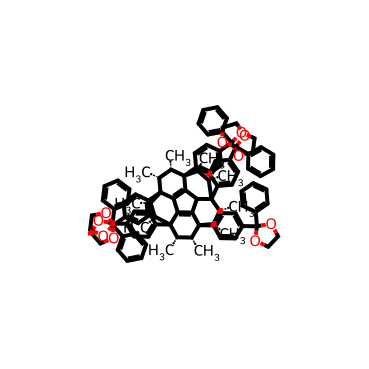 C[C@@H]1[C@H](C)C2(c3ccc(C4(c5ccccc5)OCCO4)cc3)C3=C4C5=C6C3C(c3ccc(C7(c8ccccc8)OCCO7)cc3)([C@H](C)[C@H](C)C6(c3ccc(C6(c7ccccc7)OCCO6)cc3)[C@H](C)[C@H](C)C5(c3ccc(C5(c6ccccc6)OCCO5)cc3)[C@H](C)[C@H](C)C41c1ccc(C3(c4ccccc4)OCCO3)cc1)[C@@H](C)[C@H]2C